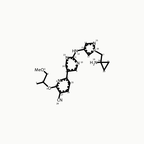 COCC(C)Oc1nc(-c2cnc(Nc3cnn(CC4(N)CC4)c3)nc2)ccc1C#N